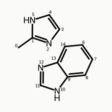 Cc1ncc[nH]1.c1ccc2[nH]cnc2c1